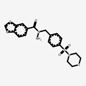 NN(Cc1ccc(S(=O)(=O)N2CCOCC2)cc1)C(=O)c1ccc2ncsc2c1